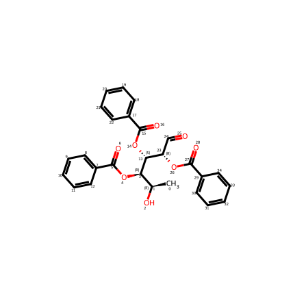 C[C@@H](O)[C@@H](OC(=O)c1ccccc1)[C@H](OC(=O)c1ccccc1)[C@H](C=O)OC(=O)c1ccccc1